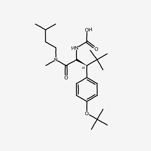 CC(C)CCN(C)C(=O)C(NC(=O)O)[C@H](c1ccc(OC(C)(C)C)cc1)C(C)(C)C